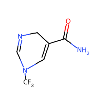 NC(=O)C1=CN(C(F)(F)F)C=NC1